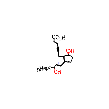 CCCCCCCC(O)/C=C/C1CCC(O)C1CC#CCCC(=O)O